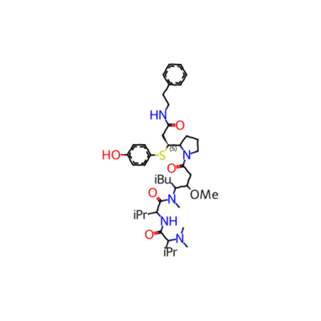 CCC(C)C(C(CC(=O)N1CCCC1[C@H](CC(=O)NCCc1ccccc1)Sc1ccc(O)cc1)OC)N(C)C(=O)C(NC(=O)C(C(C)C)N(C)C)C(C)C